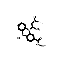 CCCNC(=S)c1ccc2c(c1)N(C(C)CN(C)CC)c1ccccc1S2.Cl